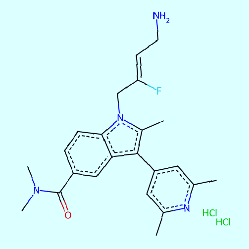 Cc1cc(-c2c(C)n(CC(F)=CCN)c3ccc(C(=O)N(C)C)cc23)cc(C)n1.Cl.Cl